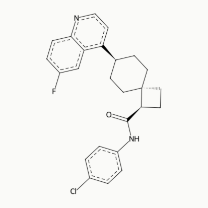 O=C(Nc1ccc(Cl)cc1)[C@@H]1CC[C@]12CC[C@H](c1ccnc3ccc(F)cc31)CC2